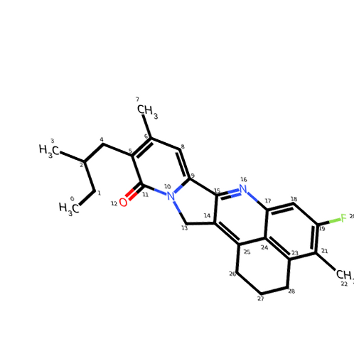 CCC(C)Cc1c(C)cc2n(c1=O)Cc1c-2nc2cc(F)c(C)c3c2c1CCC3